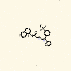 O=C(/C=C/C=C(\c1cccc(C(F)(F)F)c1)c1ccco1)Nc1cccc2cnccc12